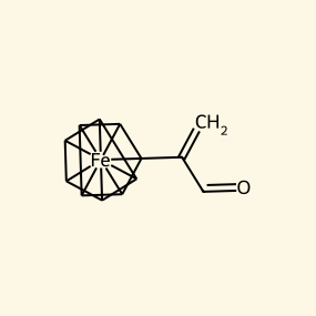 C=C(C=O)[C]12[CH]3[CH]4[CH]5[CH]1[Fe]45321678[CH]2[CH]1[CH]6[CH]7[CH]28